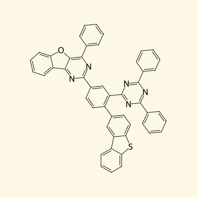 c1ccc(-c2nc(-c3ccccc3)nc(-c3cc(-c4nc(-c5ccccc5)c5oc6ccccc6c5n4)ccc3-c3ccc4sc5ccccc5c4c3)n2)cc1